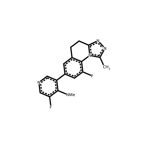 CNc1c(F)cncc1-c1cc(F)c2c(c1)CCc1nnc(C)n1-2